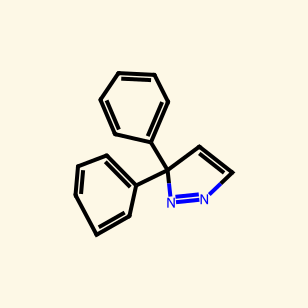 C1=CC(c2ccccc2)(c2ccccc2)N=N1